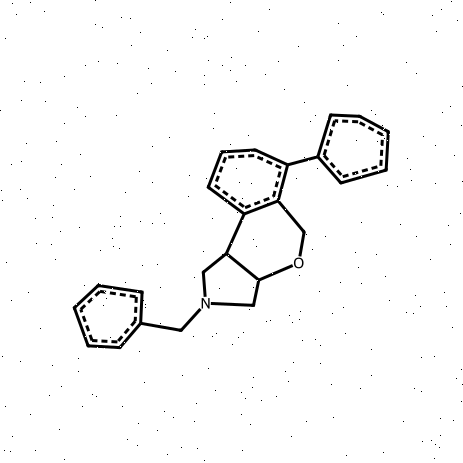 c1ccc(CN2CC3OCc4c(-c5ccccc5)cccc4C3C2)cc1